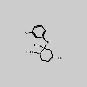 C[C@@]1(Nc2cccc(F)c2)C[C@H](C#N)CCN1C(=O)O